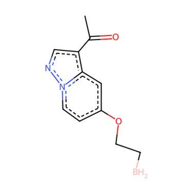 BCCOc1ccn2ncc(C(C)=O)c2c1